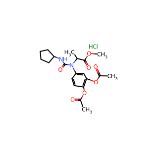 COC(=O)C(C)N(C(=O)NC1CCCC1)c1ccc(OC(C)=O)c(OC(C)=O)c1.Cl